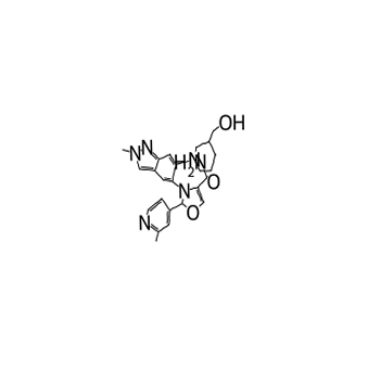 Cc1cc(C2OC=C(C(N)=O)N2c2cc3cn(C)nc3cc2N2CCCC(CO)C2)ccn1